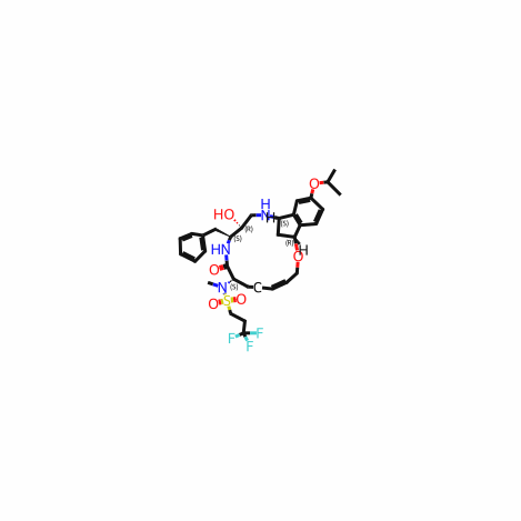 CC(C)Oc1ccc2c(c1)[C@@H]1C[C@H]2OCC=CCC[C@H](N(C)S(=O)(=O)CCC(F)(F)F)C(=O)N[C@@H](Cc2ccccc2)[C@H](O)CN1